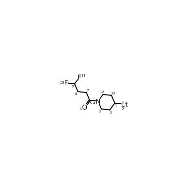 CCC1CCN(C(=O)CCC(F)F)CC1